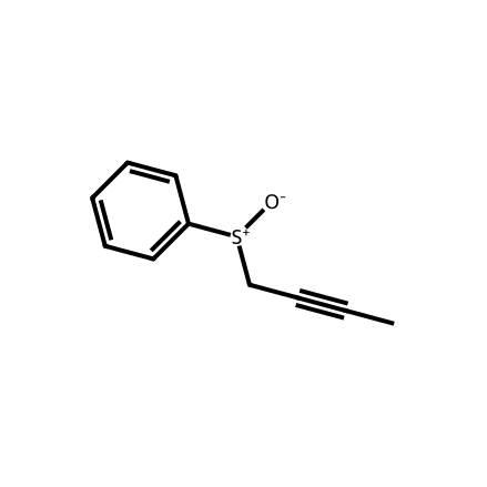 CC#CC[S+]([O-])c1ccccc1